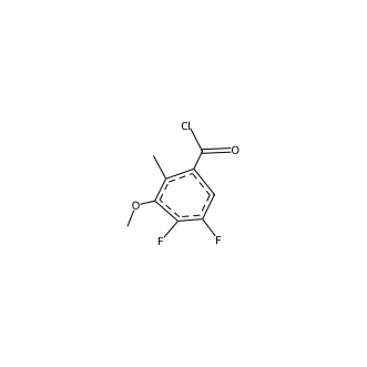 COc1c(C)c(C(=O)Cl)cc(F)c1F